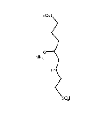 CCCCCCCCCCCC(=O)CNCCS(=O)(=O)O.N